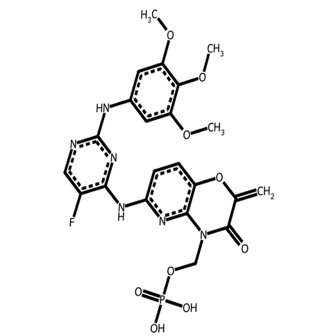 C=C1Oc2ccc(Nc3nc(Nc4cc(OC)c(OC)c(OC)c4)ncc3F)nc2N(COP(=O)(O)O)C1=O